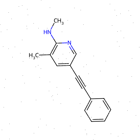 CNc1ncc(C#Cc2ccccc2)cc1C